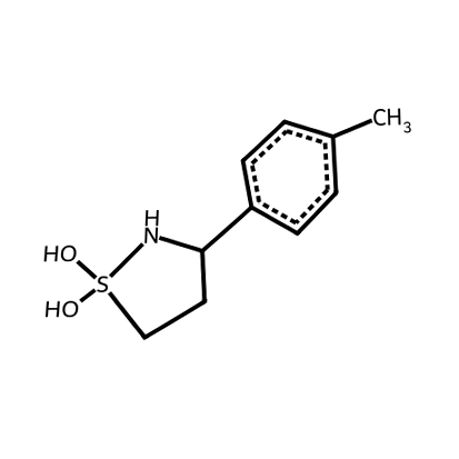 Cc1ccc(C2CCS(O)(O)N2)cc1